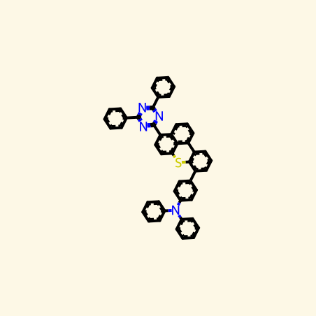 c1ccc(-c2nc(-c3ccccc3)nc(-c3ccc4c5c(cccc35)-c3cccc(-c5ccc(N(c6ccccc6)c6ccccc6)cc5)c3S4)n2)cc1